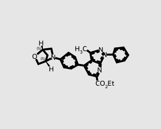 CCOC(=O)c1cc(-c2ccc(N3C[C@@H]4C[C@H]3CO4)cc2)c2c(C)nn(-c3ccccc3)c2n1